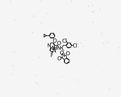 O=C(NC(CON1C(=O)c2ccccc2C1=O)Cc1ccc(Cl)cc1Cl)c1c(Oc2cccc(C3CC3)c2)cnc2cc(F)nn12